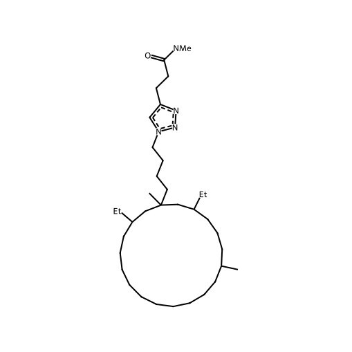 CCC1CCCCCCCCCCC(C)CCCC(CC)CC(C)(CCCCn2cc(CCC(=O)NC)nn2)C1